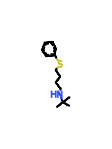 CC(C)(C)NCCCCSc1ccccc1